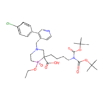 CCOP1(=O)CCN(Cc2ccncc2-c2ccc(Cl)cc2)CC1(CCCCN(C(=O)OC(C)(C)C)C(=O)OC(C)(C)C)C(=O)O